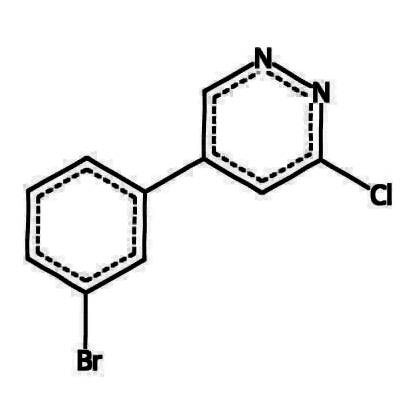 Clc1cc(-c2cccc(Br)c2)cnn1